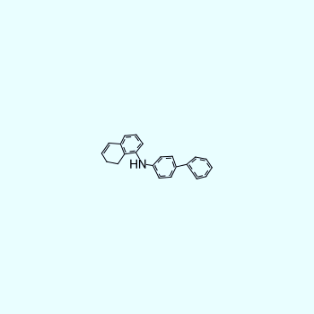 C1=Cc2cccc(Nc3ccc(-c4ccccc4)cc3)c2CC1